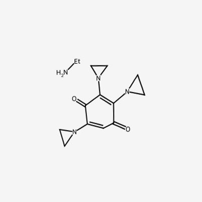 CCN.O=C1C=C(N2CC2)C(=O)C(N2CC2)=C1N1CC1